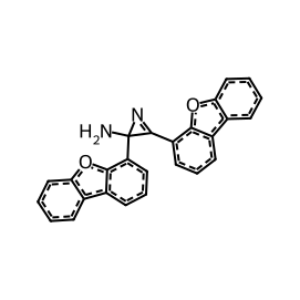 NC1(c2cccc3c2oc2ccccc23)N=C1c1cccc2c1oc1ccccc12